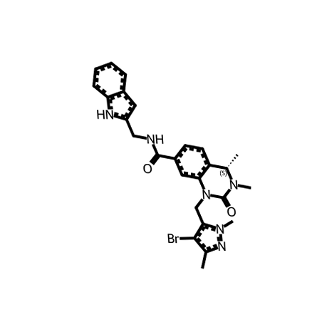 Cc1nn(C)c(CN2C(=O)N(C)[C@@H](C)c3ccc(C(=O)NCc4cc5ccccc5[nH]4)cc32)c1Br